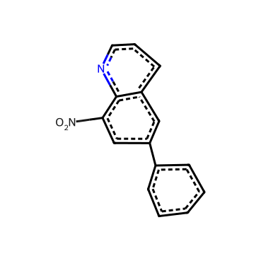 O=[N+]([O-])c1cc(-c2ccccc2)cc2cccnc12